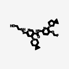 O=C(Nc1ccc(OCF)c(N2CCC3(CC3)C2)n1)c1cnc(SNCCO)cc1N1CCC2(CC1)CC2